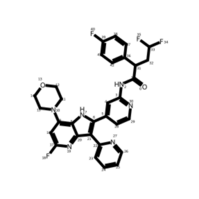 O=C(Nc1cc(-c2[nH]c3c(N4CCOCC4)cc(F)nc3c2-c2ccccn2)ccn1)C(CC(F)F)c1ccc(F)cc1